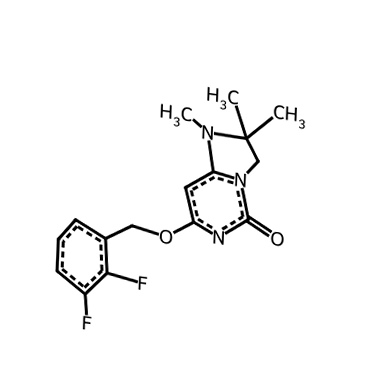 CN1c2cc(OCc3cccc(F)c3F)nc(=O)n2CC1(C)C